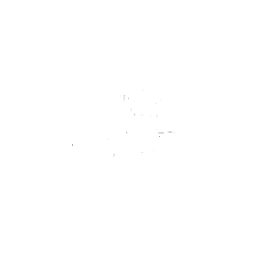 CCCC(=O)c1ccnn1CCC(O)C(F)(F)F